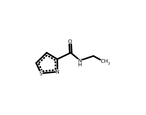 CCNC(=O)c1ccsn1